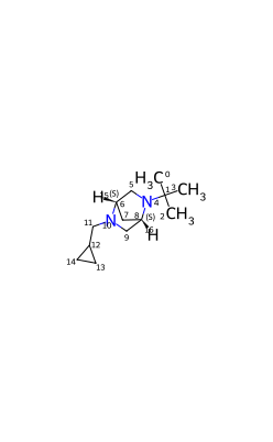 CC(C)(C)N1C[C@@H]2C[C@H]1CN2CC1CC1